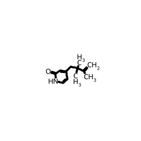 C=C(C)C(C)(C)Cc1cc[nH]c(=O)c1